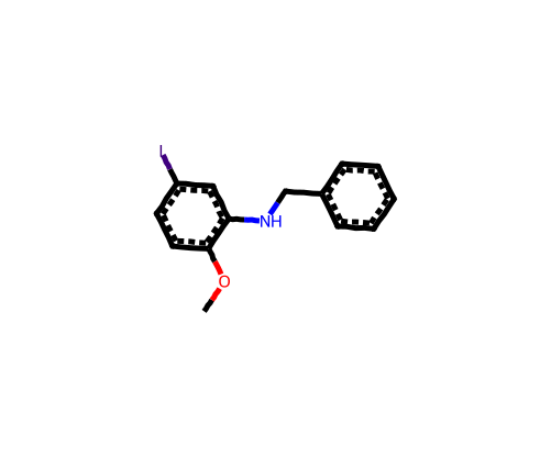 COc1ccc(I)cc1NCc1ccccc1